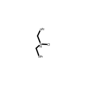 CCCC[SiH](Cl)CCCC